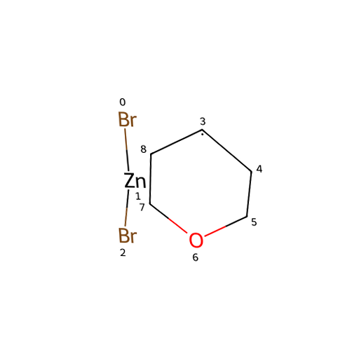 [Br][Zn][Br].[CH]1CCOCC1